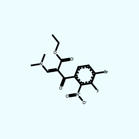 CCOC(=O)C(=CN(C)C)C(=O)c1ccc(Br)c(F)c1[N+](=O)[O-]